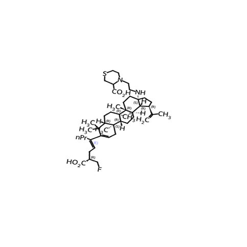 C=C(C)[C@@H]1CC[C@]2(NCCN3CCSCC3C(=O)O)CC[C@]3(C)[C@H](CC[C@@H]4[C@@]5(C)CC=C(/C(=C/C[C@@H](CF)C(=O)O)CCC)C(C)(C)[C@@H]5CC[C@]43C)[C@@H]12